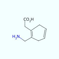 NCC1=C(CC(=O)O)CC=CC1